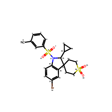 N#Cc1cccc(S(=O)(=O)N2c3ccc(Br)cc3C3(CCS(=O)(=O)CC3)C2C2CC2)c1